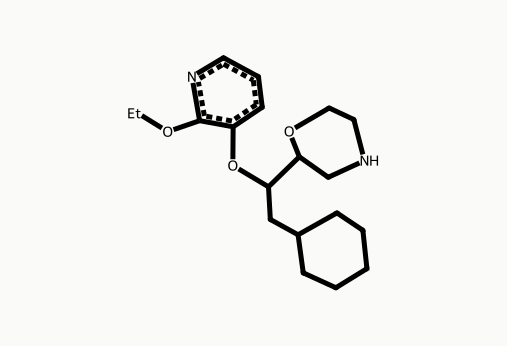 CCOc1ncccc1OC(CC1CCCCC1)C1CNCCO1